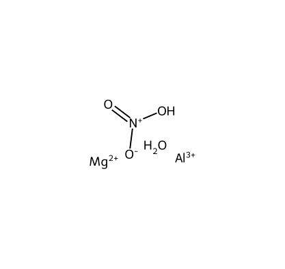 O.O=[N+]([O-])O.[Al+3].[Mg+2]